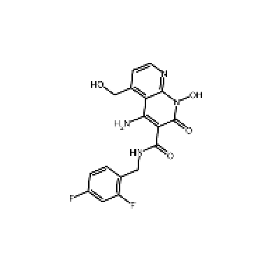 Nc1c(C(=O)NCc2ccc(F)cc2F)c(=O)n(O)c2nccc(CO)c12